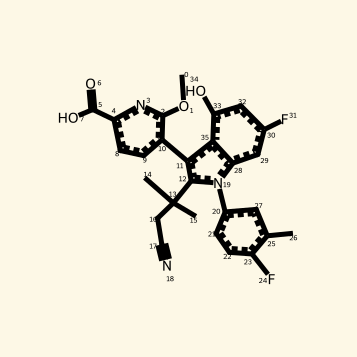 COc1nc(C(=O)O)ccc1-c1c(C(C)(C)CC#N)n(-c2ccc(F)c(C)c2)c2cc(F)cc(O)c12